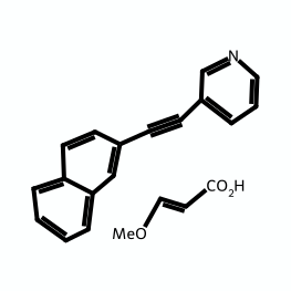 C(#Cc1ccc2ccccc2c1)c1cccnc1.COC=CC(=O)O